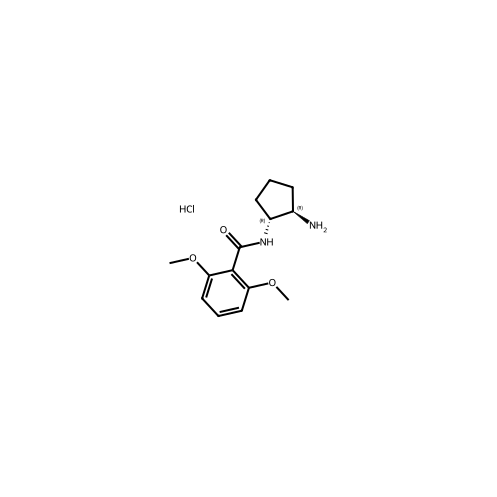 COc1cccc(OC)c1C(=O)N[C@@H]1CCC[C@H]1N.Cl